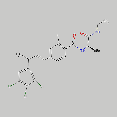 CCCC[C@@H](NC(=O)c1ccc(/C=C/C(c2cc(Cl)c(Cl)c(Cl)c2)C(F)(F)F)cc1C)C(=O)NCC(F)(F)F